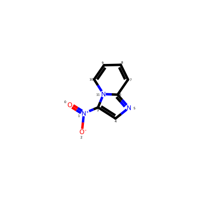 O=[N+]([O-])c1cnc2ccc[c]n12